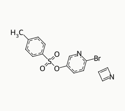 C1=CN=C1.Cc1ccc(S(=O)(=O)Oc2ccc(Br)nc2)cc1